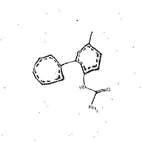 Cc1ccc(NC(N)=O)c(-c2ccccc2)c1